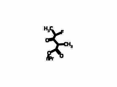 CCCOC(=O)C(C)C(=O)C(C)F